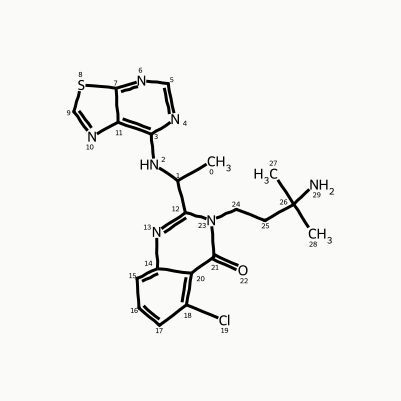 CC(Nc1ncnc2scnc12)c1nc2cccc(Cl)c2c(=O)n1CCC(C)(C)N